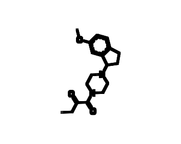 CCC(=O)C(=O)N1CCN(C2CCc3ccc(OC)cc32)CC1